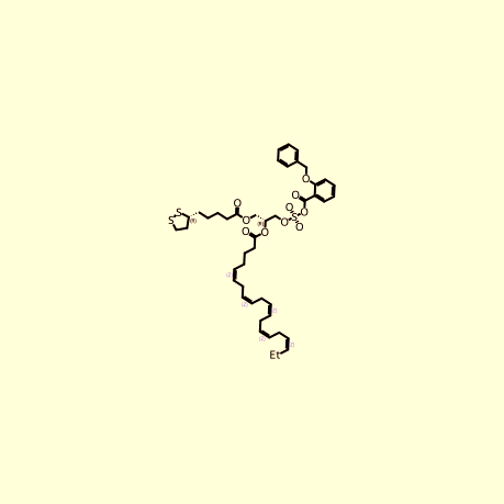 CC/C=C\C/C=C\C/C=C\C/C=C\C/C=C\CCCC(=O)O[C@H](COC(=O)CCCC[C@@H]1CCSS1)COS(=O)(=O)OC(=O)c1ccccc1OCc1ccccc1